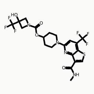 CNC(=O)c1csc2c(C(F)(F)F)cc(N3CCC(OC(=O)N4CC(O)(C(F)(F)F)C4)CC3)nc12